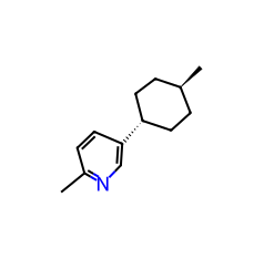 Cc1ccc([C@H]2CC[C@H](C)CC2)cn1